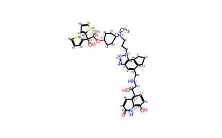 CN(CCCn1nnc2cc(CNC[C@H](O)c3ccc(O)c4[nH]c(=O)ccc34)c3c(c21)CCC3)[C@H]1CC[C@H](OC(O)C(O)(c2cccs2)c2cccs2)CC1